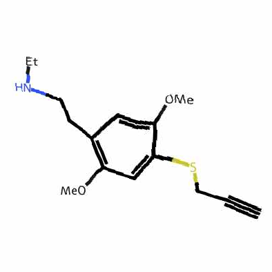 C#CCSc1cc(OC)c(CCNCC)cc1OC